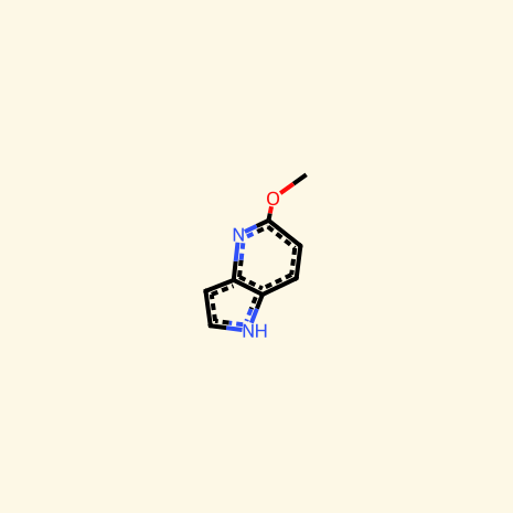 COc1ccc2[nH]ccc2n1